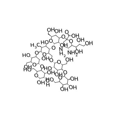 C[C@H]1C(O)[C@H](O[C@@H]2O[C@@H](CO)[C@H](O)C(O[C@]3(C(=O)O)C[C@@H](N)[C@@H](N)C([C@H](O)[C@H](O)CO)O3)C2O)C(CO[C@@H]2OC(CO)[C@@H](O[C@@H]3OC(CO)[C@H](O)C(O)[C@@H]3O)C(O)[C@@H]2O)O[C@H]1OC1[C@@H](O)C(CO)O[C@@H](O[C@@H]2C(CO)O[C@@H](O)[C@@H](O)C2O)[C@H]1O